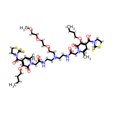 CCCCOc1c(C(=O)N2CCSC2=S)cc(C)n(CC(=O)NCCN(CCNC(=O)Cn2c(C)cc(C(=O)N3CCSC3=S)c(OCCCC)c2=O)CCOCCOCCOC)c1=O